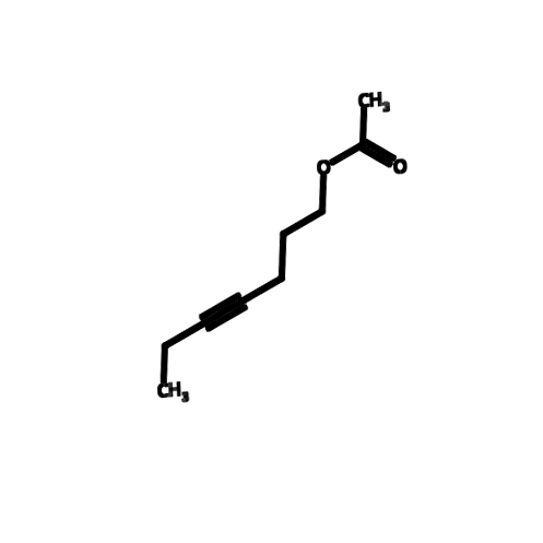 CCC#CCCCOC(C)=O